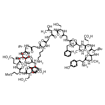 CC[C@H](C)[C@H](NC(=O)[C@H](C)NC(=O)[C@@H](N)Cc1ccc(O)cc1)C(=O)N[C@@H](CCC(=O)O)C(=O)N[C@H](C(=O)N[C@@H](Cc1ccccc1)C(=O)NCC(=O)N[C@@H](CO)C(=O)N[C@H](C(=O)NCC(=O)N[C@@H](CCCCN)C(=O)NCC(=O)N[C@H](C(=O)N[C@H](C(=O)N[C@@H](Cc1c[nH]cn1)C(=O)N[C@@H](CC(=O)O)C(=O)N[C@@H](CC(=O)O)C(=O)N[C@@H](CCSC)C(=O)N[C@@H](CCC(=O)O)C(=O)N[C@@H](CS)C(=O)O)C(C)C)C(C)C)[C@@H](C)O)[C@@H](C)O